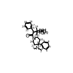 CN(C)C1(c2ccccc2)CCN(C(=O)C(c2ccccc2)C(C)(C)N)CC1.Cl.Cl